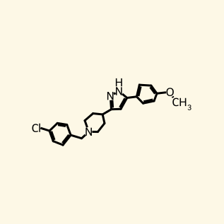 COc1ccc(-c2cc(C3CCN(Cc4ccc(Cl)cc4)CC3)n[nH]2)cc1